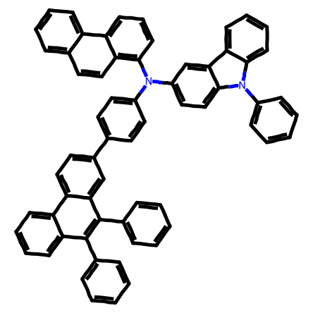 c1ccc(-c2c(-c3ccccc3)c3cc(-c4ccc(N(c5ccc6c(c5)c5ccccc5n6-c5ccccc5)c5cccc6c5ccc5ccccc56)cc4)ccc3c3ccccc23)cc1